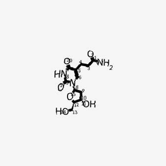 NC(=O)CCc1cn([C@H]2C[C@H](O)[C@@H](CO)O2)c(=O)[nH]c1=O